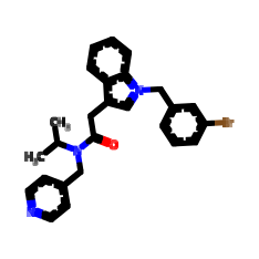 CC(C)N(Cc1ccncc1)C(=O)Cc1cn(Cc2cccc(Br)c2)c2ccccc12